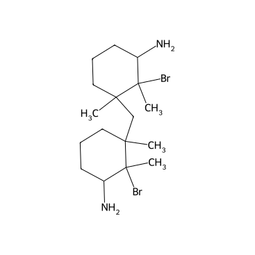 CC1(CC2(C)CCCC(N)C2(C)Br)CCCC(N)C1(C)Br